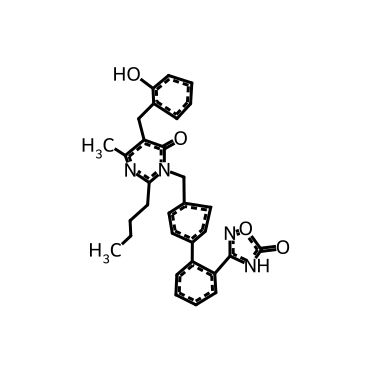 CCCCc1nc(C)c(Cc2ccccc2O)c(=O)n1Cc1ccc(-c2ccccc2-c2noc(=O)[nH]2)cc1